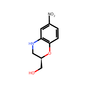 O=[N+]([O-])c1ccc2c(c1)NC[C@H](CO)O2